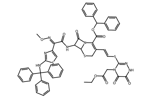 CCOC(=O)Cn1c(S/C=C/C2=C(C(=O)OC(c3ccccc3)c3ccccc3)N3C(=O)C(NC(=O)/C(=N/OC)c4csc(NC(c5ccccc5)(c5ccccc5)c5ccccc5)n4)C3SC2)n[nH]c(=O)c1=O